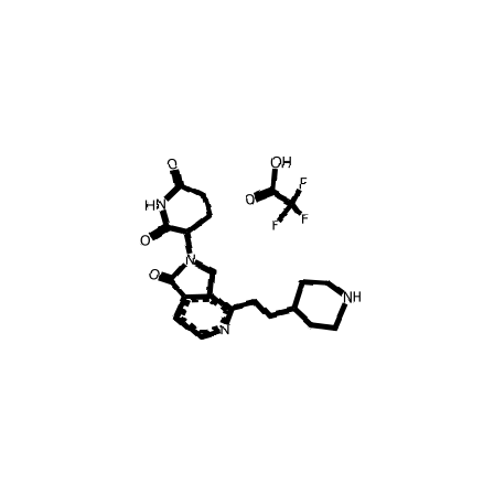 O=C(O)C(F)(F)F.O=C1CCC(N2Cc3c(ccnc3CCC3CCNCC3)C2=O)C(=O)N1